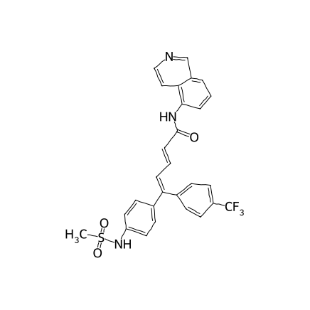 CS(=O)(=O)Nc1ccc(C(=CC=CC(=O)Nc2cccc3cnccc23)c2ccc(C(F)(F)F)cc2)cc1